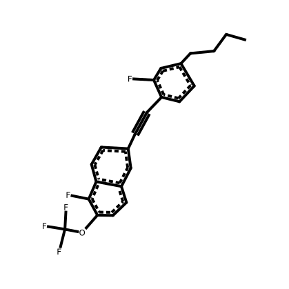 CCCCc1ccc(C#Cc2ccc3c(F)c(OC(F)(F)F)ccc3c2)c(F)c1